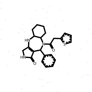 O=C1NCC2=C1C(c1ccccc1)N(C(=O)Cc1cccs1)C1CCCCC1N2